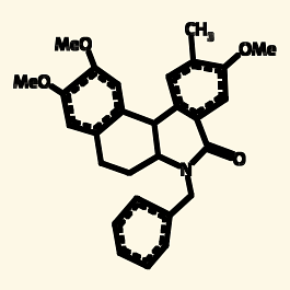 COc1cc2c(cc1C)C1c3cc(OC)c(OC)cc3CCC1N(Cc1ccccc1)C2=O